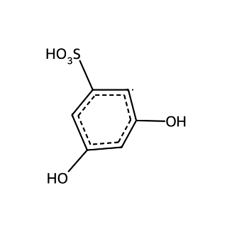 O=S(=O)(O)c1[c]c(O)cc(O)c1